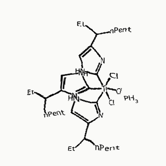 CCCCCC(CC)c1c[nH][c]([Ti]([Cl])([Cl])([Cl])([c]2nc(C(CC)CCCCC)c[nH]2)[c]2nc(C(CC)CCCCC)c[nH]2)n1.P